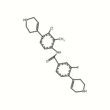 Cc1c(NC(=O)c2ccc(C3=CCNCC3)c(F)c2)ccc(C2=CCNCC2)c1Cl